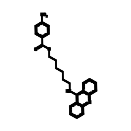 O=C(OCCCCCCNc1c2ccccc2nc2ccccc12)c1ccc([N+](=O)[O-])cc1